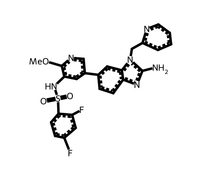 COc1ncc(-c2ccc3nc(N)n(Cc4ccccn4)c3c2)cc1NS(=O)(=O)c1ccc(F)cc1F